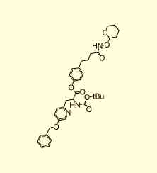 CC(C)(C)OC(=O)NC(Cc1ccc(OCc2ccccc2)cn1)C(=O)Oc1ccc(CCCC(=O)NOC2CCCCO2)cc1